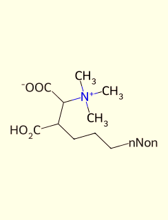 CCCCCCCCCCCCC(C(=O)O)C(C(=O)[O-])[N+](C)(C)C